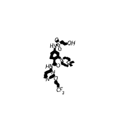 C[Si]1(C)CCN(c2cc(NS(=O)(=O)CCO)ccc2C(=O)Nc2ccnc(OCCC(F)(F)F)n2)CC1